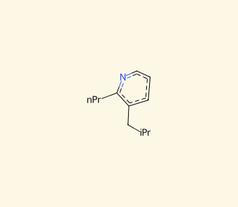 CCCc1ncccc1CC(C)C